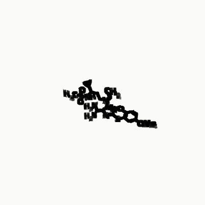 C=CN(CCC(NS(C)(=O)=O)C1CC1)C1=NC(Sc2cc(OC)ccc2OC)=NC1=C(N)N